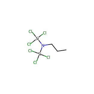 CCCN([Si](Cl)(Cl)Cl)[Si](Cl)(Cl)Cl